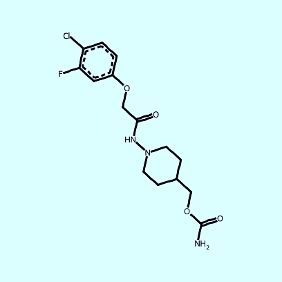 NC(=O)OCC1CCN(NC(=O)COc2ccc(Cl)c(F)c2)CC1